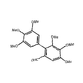 COc1cc(-c2c(C=O)cc(OC)c(OC)c2OC)cc(OC)c1OC